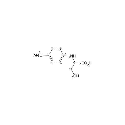 COc1ccc(NC(CO)C(=O)O)cc1